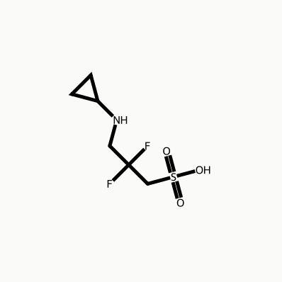 O=S(=O)(O)CC(F)(F)CNC1CC1